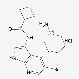 Cl.N[C@@H]1CCCN(c2c(Br)cnc3[nH]cc(NC(=O)C4CCC4)c23)C1